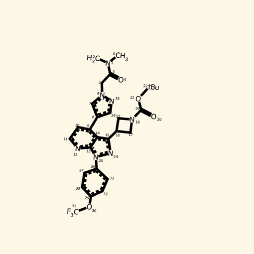 CN(C)C(=O)Cn1cc(-c2ccnc3c2c(C2CN(C(=O)OC(C)(C)C)C2)nn3-c2ccc(OC(F)(F)F)cc2)cn1